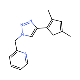 CC1=CC(C)=C(c2cn(Cc3ccccn3)nn2)C1